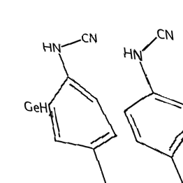 Cc1ccc(NC#N)cc1.Cc1ccc(NC#N)cc1.[GeH4]